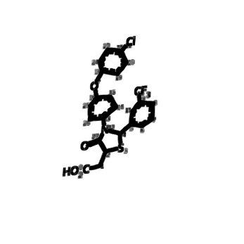 O=C(O)CC1SC(c2cccc(C(F)(F)F)c2)N(c2ccc(Oc3ccc(Cl)cc3)cc2)C1=O